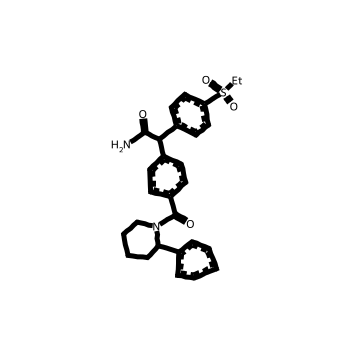 CCS(=O)(=O)c1ccc(C(C(N)=O)c2ccc(C(=O)N3CCCCC3c3ccccc3)cc2)cc1